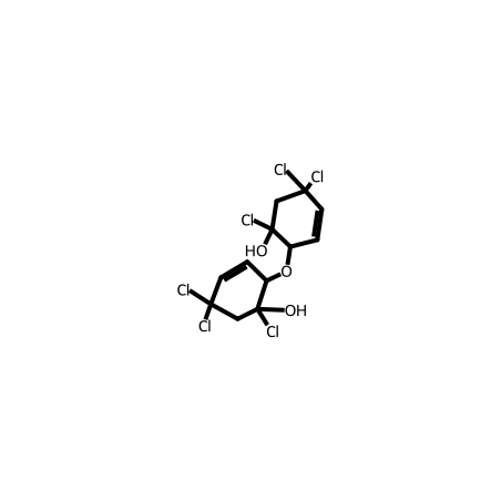 OC1(Cl)CC(Cl)(Cl)C=CC1OC1C=CC(Cl)(Cl)CC1(O)Cl